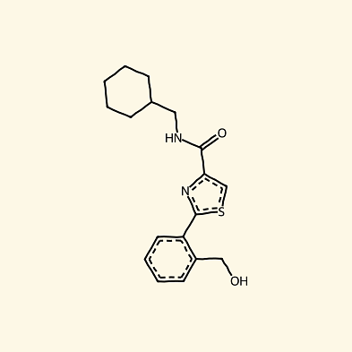 O=C(NCC1CCCCC1)c1csc(-c2ccccc2CO)n1